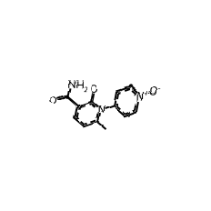 Cc1ccc(C(N)=O)c(=O)n1-c1cc[n+]([O-])cc1